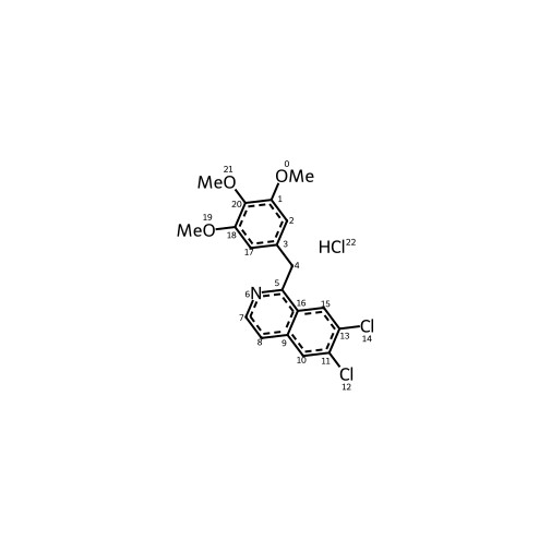 COc1cc(Cc2nccc3cc(Cl)c(Cl)cc23)cc(OC)c1OC.Cl